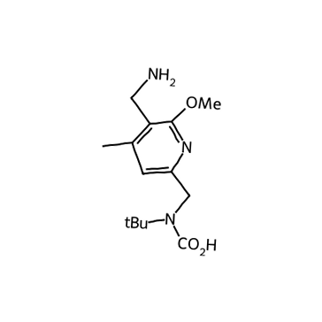 COc1nc(CN(C(=O)O)C(C)(C)C)cc(C)c1CN